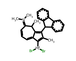 CC1=[C]([Hf]([Br])[Br])C2=CC=CC(=[Si](C)C)C(C)C2=C1C1c2ccccc2-c2ccccc21